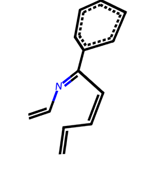 C=C/C=C\C(=N/C=C)c1ccccc1